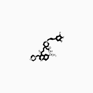 COc1ccc2ncc(CN3CCOCC3)c([C@@H](F)CCC3(CC(=O)O)CCN(CC#Cc4cc(F)c(F)c(F)c4)CC3)c2c1